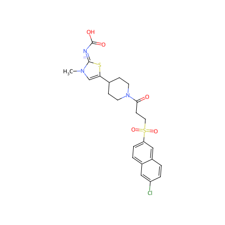 Cn1cc(C2CCN(C(=O)CCS(=O)(=O)c3ccc4cc(Cl)ccc4c3)CC2)s/c1=N\C(=O)O